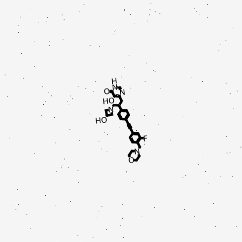 O=c1[nH]cnc(CC(CN2CC(O)C2)c2ccc(C#Cc3ccc(CN4CCOCC4)c(F)c3)cc2)c1O